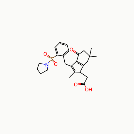 CC1=C(Cc2ccccc2S(=O)(=O)N2CCCC2)C2=C(CC(C)(C)CC2=O)C1CC(=O)O